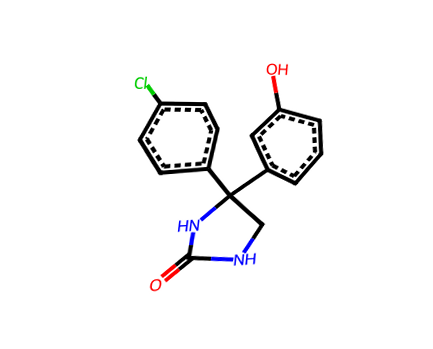 O=C1NCC(c2ccc(Cl)cc2)(c2cccc(O)c2)N1